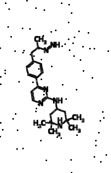 CC(Cc1ccc(-c2ccnc(NC3CC(C)(C)NC(C)(C)C3)n2)cc1)N=N